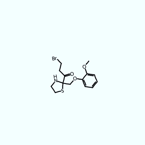 COc1ccccc1OCC1(C(=O)CCBr)NCCS1